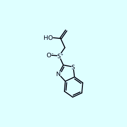 C=C(O)C[S+]([O-])c1nc2ccccc2s1